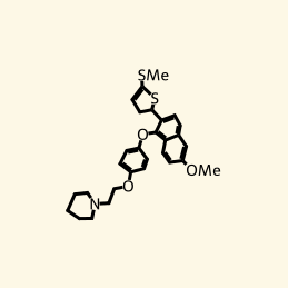 COc1ccc2c(Oc3ccc(OCCN4CCCCC4)cc3)c(C3CC=C(SC)S3)ccc2c1